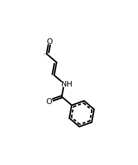 O=[C]/C=C/NC(=O)c1ccccc1